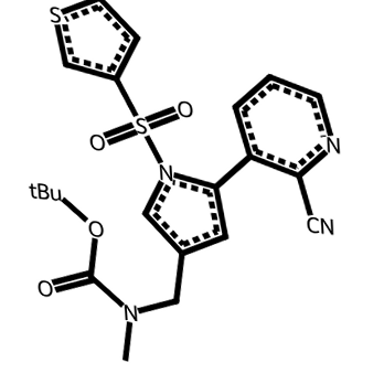 CN(Cc1cc(-c2cccnc2C#N)n(S(=O)(=O)c2ccsc2)c1)C(=O)OC(C)(C)C